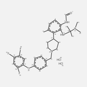 Cc1ccc(NC=O)c(NC(C)(C)N(C)C)c1C1CCN(Cc2ccc(Oc3cc(F)c(F)cc3F)cc2)CC1.Cl.Cl